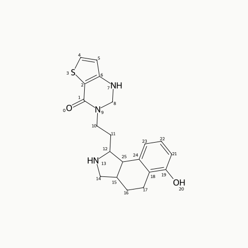 O=C1c2sccc2NCN1CCC1NCC2CCc3c(O)cccc3C21